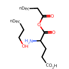 CCCCCCCCCCCC(=O)OC(=O)C(N)CCC(=O)O.CCCCCCCCCCCCO